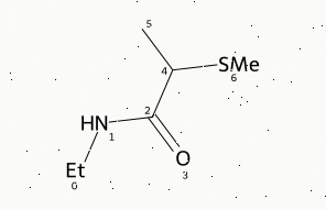 CCNC(=O)C(C)SC